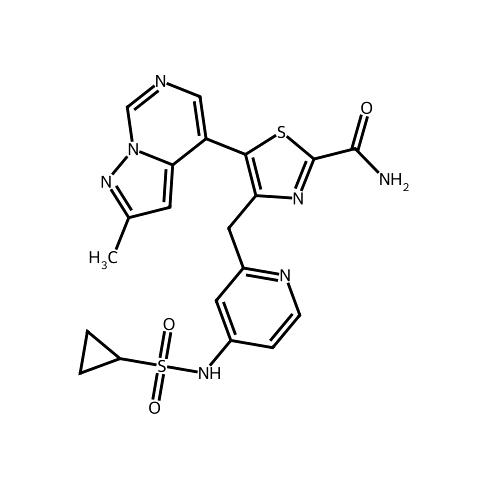 Cc1cc2c(-c3sc(C(N)=O)nc3Cc3cc(NS(=O)(=O)C4CC4)ccn3)cncn2n1